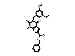 COc1cc(Cn2c(=O)c3cc(C(=O)OCc4ccccc4)sc3n(C)c2=O)cc(OC)c1